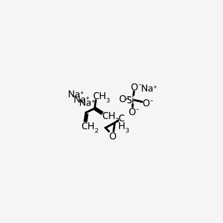 C=CC(=C)C.CC1CO1.[Na+].[Na+].[Na+].[Na+].[O-][Si]([O-])([O-])[O-]